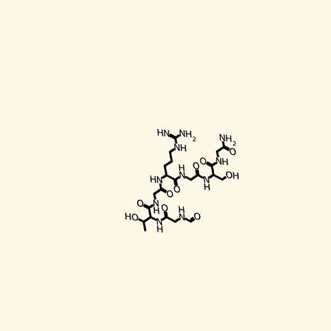 CC(O)C(NC(=O)CNC=O)C(=O)NCC(=O)NC(CCCNC(=N)N)C(=O)NCC(=O)NC(CO)C(=O)NCC(N)=O